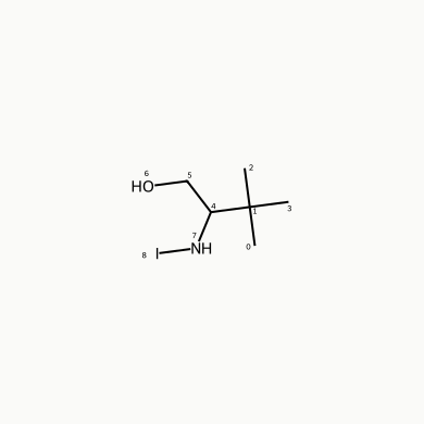 CC(C)(C)C(CO)NI